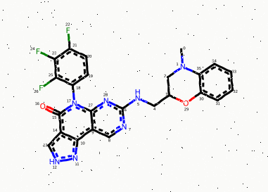 CN1CC(CNc2ncc3c4n[nH]cc4c(=O)n(-c4ccc(F)c(F)c4F)c3n2)Oc2ccccc21